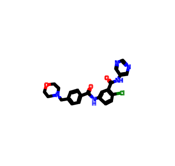 O=C(Nc1ccc(Cl)c(C(=O)Nc2cncnc2)c1)c1ccc(CN2CCOCC2)cc1